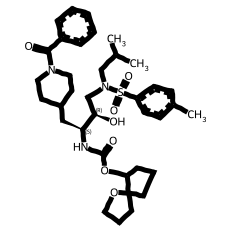 Cc1ccc(S(=O)(=O)N(CC(C)C)C[C@@H](O)[C@H](CC2CCN(C(=O)c3ccccc3)CC2)NC(=O)OC2CCCC23CCCO3)cc1